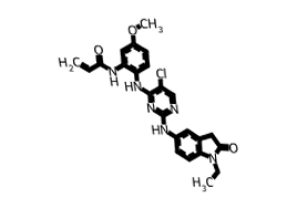 C=CC(=O)Nc1cc(OC)ccc1Nc1nc(Nc2ccc3c(c2)CC(=O)N3CC)ncc1Cl